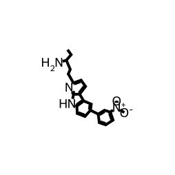 CCC(N)CCc1ccc2c(n1)[nH]c1ccc(-c3cccc([N+](=O)[O-])c3)cc12